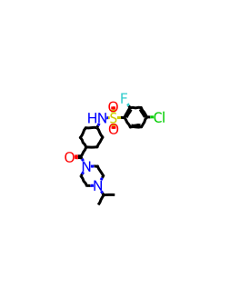 CC(C)N1CCN(C(=O)C2CCC(NS(=O)(=O)c3ccc(Cl)cc3F)CC2)CC1